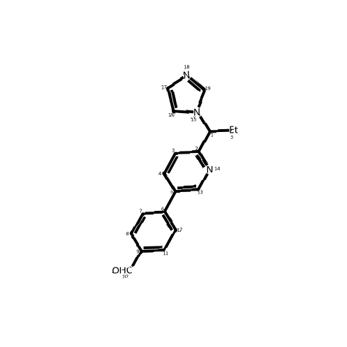 CCC(c1ccc(-c2ccc(C=O)cc2)cn1)n1ccnc1